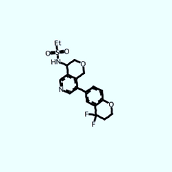 CCS(=O)(=O)NC1COCc2c(-c3ccc4c(c3)C(F)(F)CCO4)cncc21